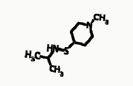 CC(C)NSC1CCN(C)CC1